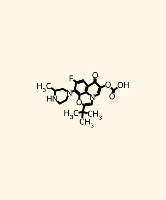 CC1CN(c2c(F)cc3c(=O)c(OC(=O)O)cn4c3c2OC(C(C)(C)C)=C4)CCN1